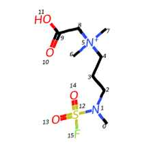 CN(CCC[N+](C)(C)CC(=O)O)S(=O)(=O)F